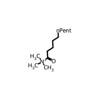 CCCCCCCCCC(=O)[N+](C)(C)C